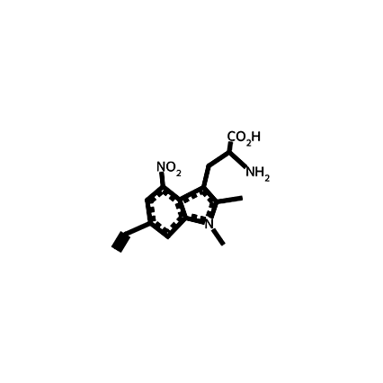 C#Cc1cc([N+](=O)[O-])c2c(CC(N)C(=O)O)c(C)n(C)c2c1